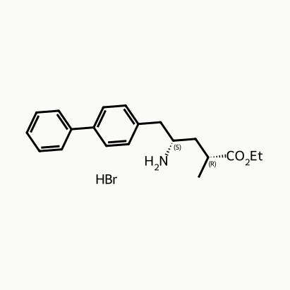 Br.CCOC(=O)[C@H](C)C[C@H](N)Cc1ccc(-c2ccccc2)cc1